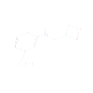 O=C(O)c1cccc(NCC2COC2)c1